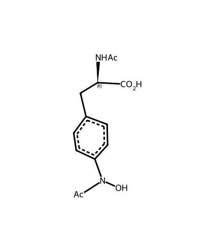 CC(=O)N[C@H](Cc1ccc(N(O)C(C)=O)cc1)C(=O)O